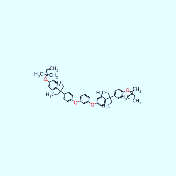 C=C[Si](C)(C)Oc1ccc(C(CC)(CC)c2ccc(Oc3cccc(Oc4ccc(C(CC)(CC)c5ccc(O[Si](C)(C)C=C)cc5)cc4)c3)cc2)cc1